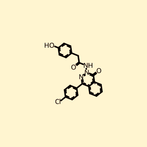 O=C(Cc1ccc(O)cc1)Nn1nc(-c2ccc(Cl)cc2)c2ccccc2c1=O